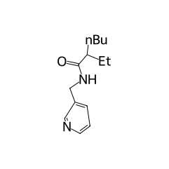 CCCCC(CC)C(=O)NCc1cccnc1